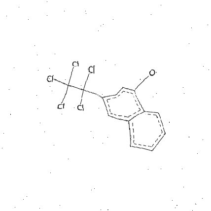 [O]c1cc(C(Cl)(Cl)C(Cl)(Cl)Cl)cc2ccccc12